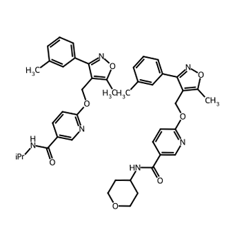 Cc1cccc(-c2noc(C)c2COc2ccc(C(=O)NC(C)C)cn2)c1.Cc1cccc(-c2noc(C)c2COc2ccc(C(=O)NC3CCOCC3)cn2)c1